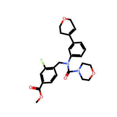 COC(=O)c1ccc(CN(C(=O)N2CCOCC2)c2cccc(C3=CCOCC3)c2)c(F)c1